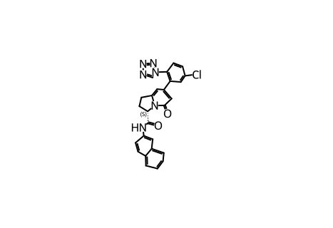 O=C(Nc1ccc2ccccc2c1)[C@@H]1CCc2cc(-c3cc(Cl)ccc3-n3cnnn3)cc(=O)n21